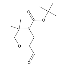 CC(C)(C)OC(=O)N1CC(C=O)OCC1(C)C